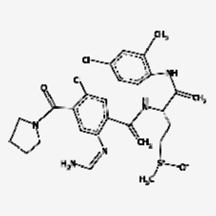 C=C(N[C@@H](CC[S+](C)[O-])C(=C)Nc1ccc(Cl)cc1C)c1cc(Cl)c(C(=O)N2CCCC2)cc1/N=C\N